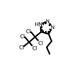 CCCc1nn[nH]c1C(Cl)(Cl)C(Cl)(Cl)Cl